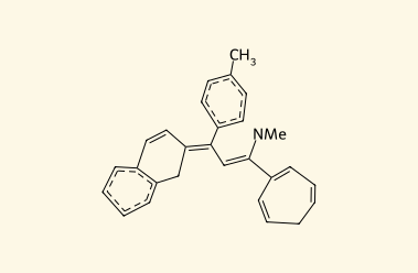 CN/C(=C\C(=C1\C=Cc2ccccc2C1)c1ccc(C)cc1)C1=CC=CCC=C1